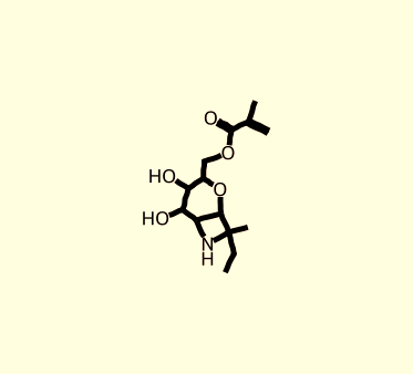 C=C(C)C(=O)OCC1OC2C(NC2(C)CC)C(O)C1O